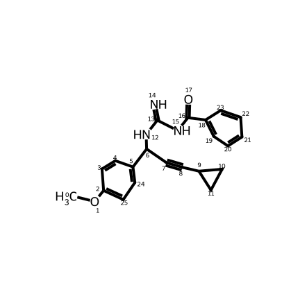 COc1ccc(C(C#CC2CC2)NC(=N)NC(=O)c2ccccc2)cc1